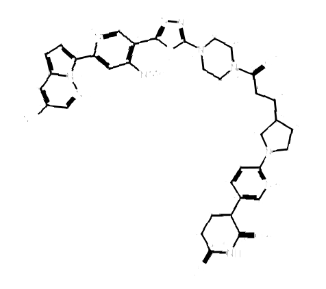 CNc1cc(-c2ccc3cc(C#N)cnn23)ncc1-c1nnc(N2CCN(C(=O)CCC3CCN(c4ccc(C5CCC(=O)NC5=O)cn4)C3)CC2)s1